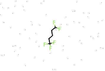 F[C](F)CCCC(F)(F)F